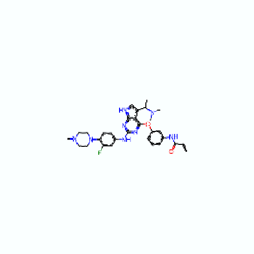 C=CC(=O)Nc1cccc(Oc2nc(Nc3ccc(N4CCN(C)CC4)c(F)c3)nc3[nH]cc(C(C)N(C)C)c23)c1